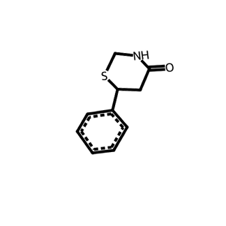 O=C1CC(c2ccccc2)SCN1